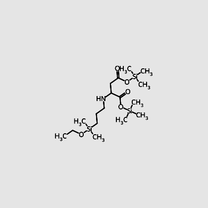 CCO[Si](C)(C)CCCNC(CC(=O)O[Si](C)(C)C)C(=O)O[Si](C)(C)C